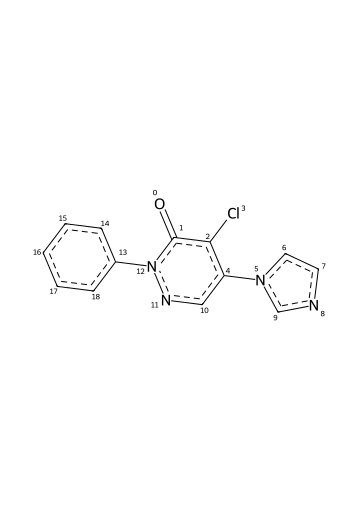 O=c1c(Cl)c(-n2ccnc2)cnn1-c1ccccc1